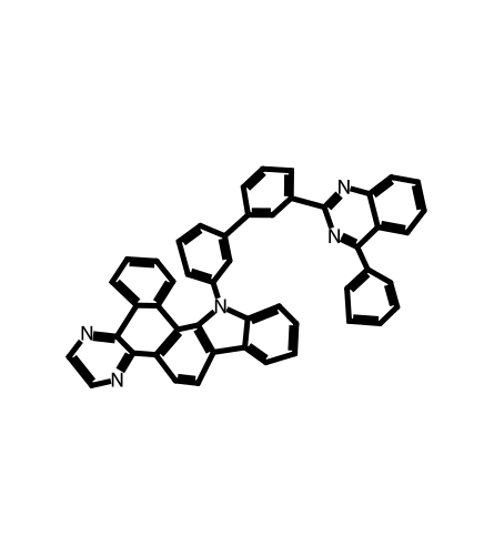 c1ccc(-c2nc(-c3cccc(-c4cccc(-n5c6ccccc6c6ccc7c8nccnc8c8ccccc8c7c65)c4)c3)nc3ccccc23)cc1